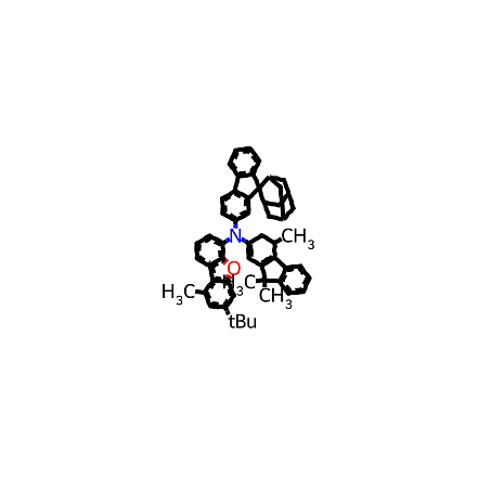 Cc1cc(C(C)(C)C)cc2oc3c(N(C4=CC5=C(c6ccccc6C5(C)C)C(C)C4)c4ccc5c(c4)C4(c6ccccc6-5)C5CC6CC(C5)CC4C6)cccc3c12